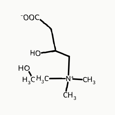 CO.C[N+](C)(C)CC(O)CC(=O)[O-]